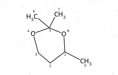 CC1CCOC(C)(C)O1